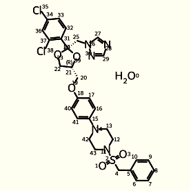 O.O=S(=O)(Cc1ccccc1)N1CCN(c2ccc(OC[C@@H]3CO[C@@](Cn4cncn4)(c4ccc(Cl)cc4Cl)O3)cc2)CC1